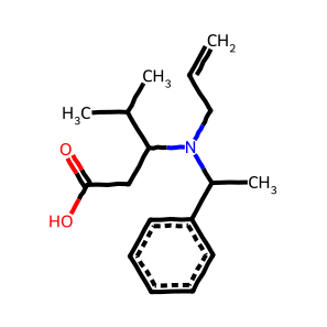 C=CCN(C(C)c1ccccc1)C(CC(=O)O)C(C)C